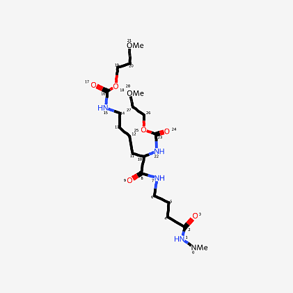 CNNC(=O)CCCNC(=O)C(CCCCNC(=O)OCCOC)NC(=O)OCCOC